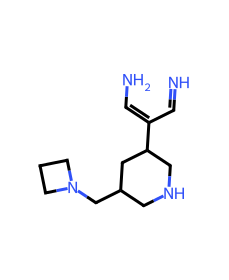 N=C/C(=C\N)C1CNCC(CN2CCC2)C1